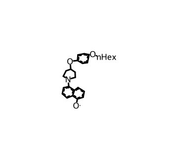 CCCCCCOc1ccc(OC2CCN(c3cccc4c([O])cccc34)CC2)cc1